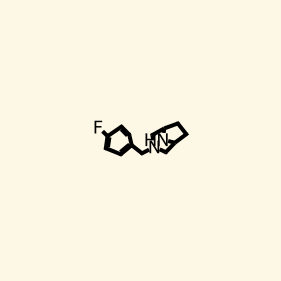 Fc1ccc(CN2CC3CCC(C2)N3)cc1